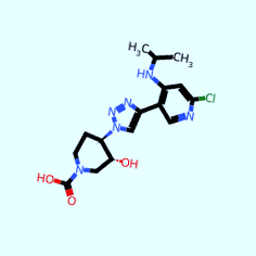 CC(C)Nc1cc(Cl)ncc1-c1cn([C@@H]2CCN(C(=O)O)C[C@H]2O)nn1